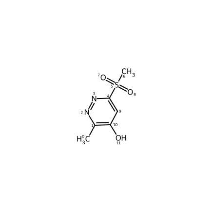 Cc1nnc(S(C)(=O)=O)cc1O